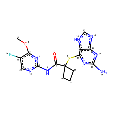 COc1nc(NC(=O)C2(Sc3nc(N)nc4nc[nH]c34)CCC2)ncc1F